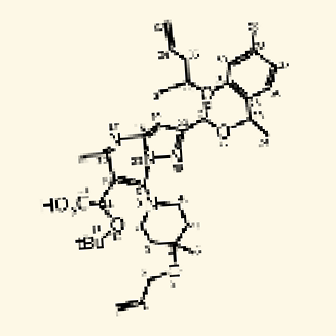 C=CCOC1(C)CCN(c2c(C(OC(C)(C)C)C(=O)O)c(C)nc3cc(COC(C)c4ccc(C)cc4OC(C)CC=C)nn23)CC1